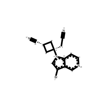 N#CC[C@]1(n2cc(Br)c3cnccc32)C[C@H](C#N)C1